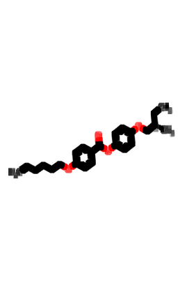 C=CCCCCOc1ccc(C(=O)Oc2ccc(OC[C@@H](C)CC)cc2)cc1